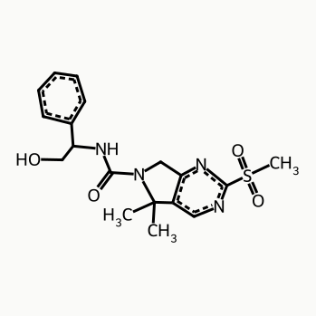 CC1(C)c2cnc(S(C)(=O)=O)nc2CN1C(=O)NC(CO)c1ccccc1